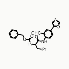 CC(C)CC(NC(=O)OCc1ccccc1)C(=O)Nc1ccc(-c2cnco2)cc1C=O